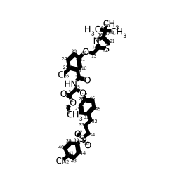 CCOC(=O)C(NC(=O)c1cc(OCc2nc(C(C)(C)C)cs2)ccc1Cl)Oc1ccc(CCCS(=O)(=O)c2ccc(Cl)cc2)cc1